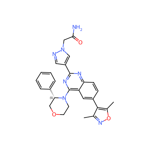 Cc1noc(C)c1-c1ccc2nc(-c3cnn(CC(N)=O)c3)nc(N3CCOC[C@@H]3c3ccccc3)c2c1